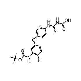 CC(C)(C)OC(=O)Nc1cc(Oc2ccc(NC(=S)NC(=O)O)nc2)ccc1F